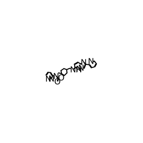 O=C1OC2(CCC(CNc3ccc4nc(-c5ccccn5)cn4n3)CC2)CN1c1cccnn1